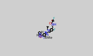 COc1cc(C(=O)N2[C@H]3CC[C@@H]2[C@H](N)C3)cc2nc(-c3cc4cc(F)c(CCNC(=O)C56CC(F)(C5)C6)cc4n3CC3CC3)n(C)c12